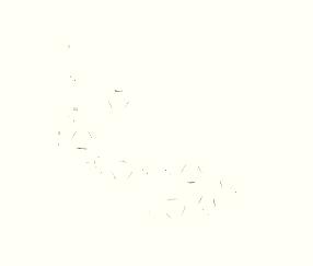 Cc1c(C(=O)N2CCC(O)CC2)c(-c2cccc(N3CCN(c4ccc(NS(=O)(=O)c5ccc(N[C@H](CCN6CCC(C)(O)CC6)CSc6ccccc6)c(S(=O)(=O)C(F)(F)F)c5)cc4)CC3)c2)c(-c2ccc(F)cc2)n1C